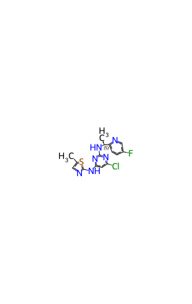 Cc1cnc(Nc2cc(Cl)nc(N[C@@H](C)c3ccc(F)cn3)n2)s1